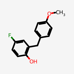 COc1ccc(Cc2cc(F)ccc2O)cc1